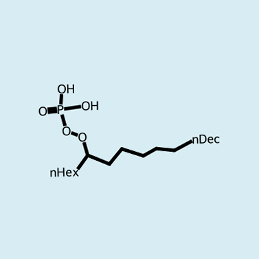 CCCCCCCCCCCCCCCC(CCCCCC)OOP(=O)(O)O